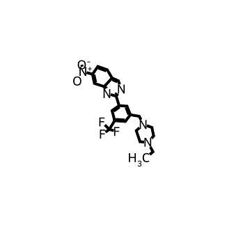 CCN1CCN(Cc2cc(-c3ncc4ccc([N+](=O)[O-])cc4n3)cc(C(F)(F)F)c2)CC1